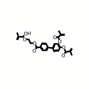 C=C(C)C(=O)Oc1ccc(-c2ccc(C(=O)OCCOC(O)C(=C)C)cc2)cc1OC(=O)C(=C)C